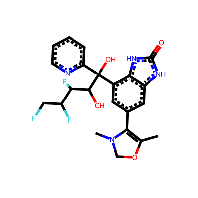 CC1=C(c2cc(C(O)(c3ccccn3)C(O)C(F)C(F)CF)c3[nH]c(=O)[nH]c3c2)N(C)CO1